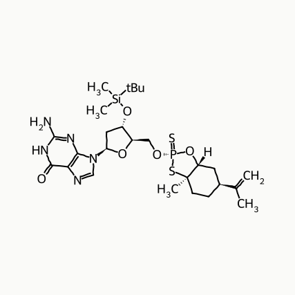 C=C(C)[C@H]1CC[C@@]2(C)S[P@](=S)(OC[C@H]3O[C@@H](n4cnc5c(=O)[nH]c(N)nc54)C[C@@H]3O[Si](C)(C)C(C)(C)C)O[C@@H]2C1